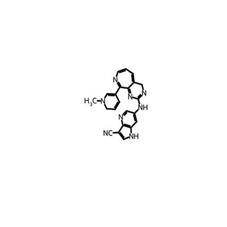 CN1C=C(C2=NC=CC=C3CN=C(Nc4cnc5c(C#N)c[nH]c5c4)N=C32)C=CC1